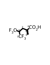 C=C(CC(C(F)(F)F)C(F)(F)F)C(=O)O